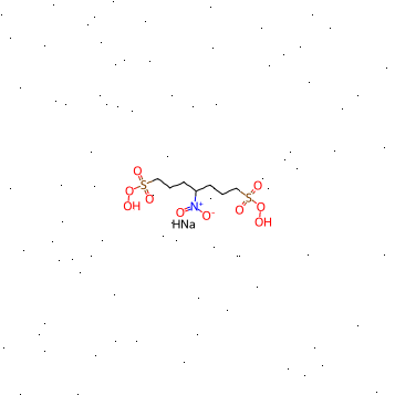 O=[N+]([O-])C(CCCS(=O)(=O)OO)CCCS(=O)(=O)OO.[NaH]